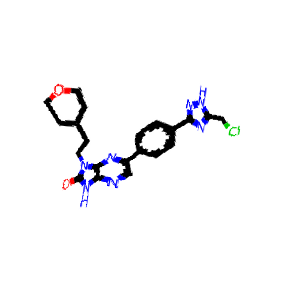 O=c1[nH]c2ncc(-c3ccc(-c4n[nH]c(CCl)n4)cc3)nc2n1CCC1CCOCC1